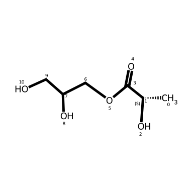 C[C@H](O)C(=O)OCC(O)CO